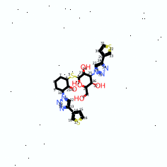 OCC1O[C@@H](S[C@@H]2CCCC(n3cc(-c4ccsc4)nn3)C2O)C(O)[C@@H](n2cc(-c3ccsc3)nn2)[C@H]1O